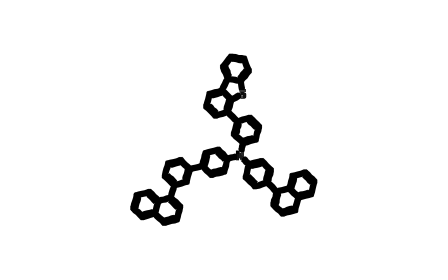 c1cc(-c2ccc(N(c3ccc(-c4cccc5ccccc45)cc3)c3cccc(-c4cccc5c4sc4ccccc45)c3)cc2)cc(-c2cccc3ccccc23)c1